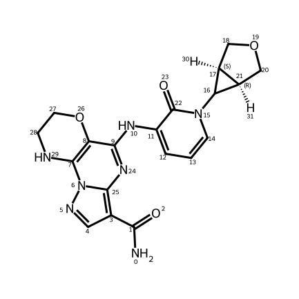 NC(=O)c1cnn2c3c(c(Nc4cccn(C5[C@H]6COC[C@@H]56)c4=O)nc12)OCCN3